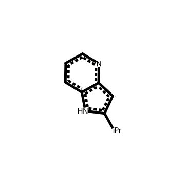 CC(C)c1[c]c2ncccc2[nH]1